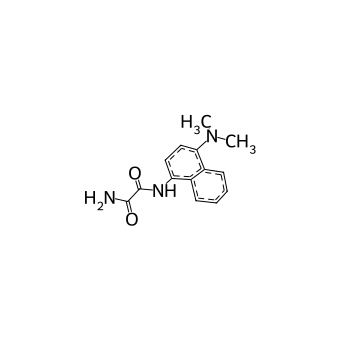 CN(C)c1ccc(NC(=O)C(N)=O)c2ccccc12